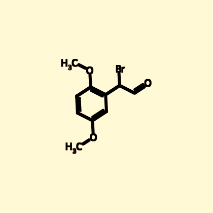 COc1ccc(OC)c(C(Br)C=O)c1